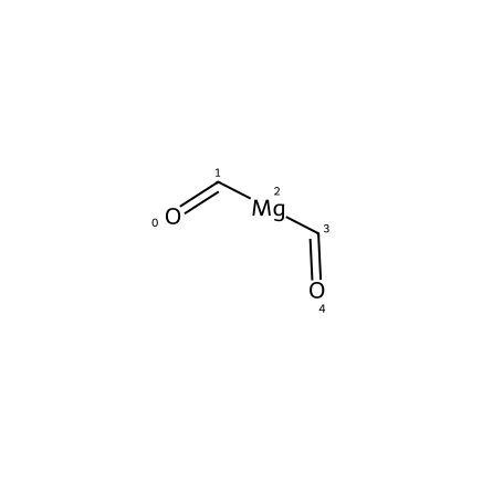 O=[CH][Mg][CH]=O